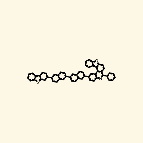 c1ccc(-c2nc3ccc(-c4ccc5cc(-c6ccc7cc(-c8ccc9c(c8)sc8ccccc89)ccc7c6)ccc5c4)cc3c3c2ccc2oc4ccccc4c23)cc1